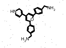 NCc1ccc(C2=CC(C3=CCNC=C3)=CC(c3ccc(CN)cc3)O2)cc1